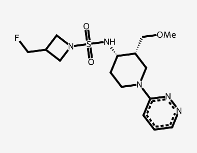 COC[C@@H]1CN(c2cccnn2)CC[C@@H]1NS(=O)(=O)N1CC(CF)C1